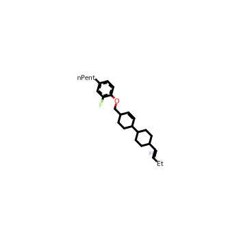 CC/C=C/C1CCC(C2C=CC(COc3ccc(CCCCC)cc3F)CC2)CC1